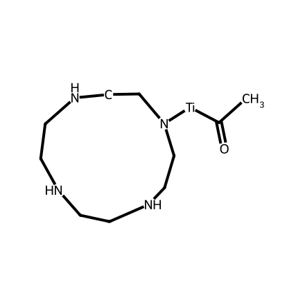 C[C](=O)[Ti][N]1CCNCCNCCNCC1